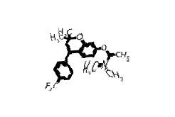 CC(Oc1ccc2c(c1)OC(C)(C)CC2c1ccc(C(F)(F)F)cc1)N(C)C